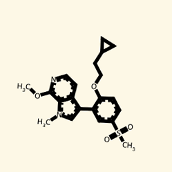 COc1nccc2c(-c3cc(S(C)(=O)=O)ccc3OCCC3CC3)cn(C)c12